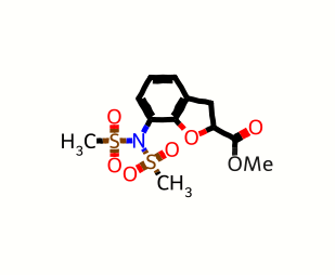 COC(=O)C1Cc2cccc(N(S(C)(=O)=O)S(C)(=O)=O)c2O1